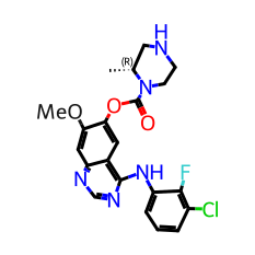 COc1cc2ncnc(Nc3cccc(Cl)c3F)c2cc1OC(=O)N1CCNC[C@H]1C